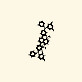 Cc1cc(C)cc(N(c2ccccc2)c2ccc3c(c2)N(C)c2ccc4c5c(ccc-3c25)-c2ccc(N(c3ccccc3)c3ccc(C)cc3C)cc2N4C)c1